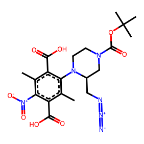 Cc1c(C(=O)O)c([N+](=O)[O-])c(C)c(C(=O)O)c1N1CCN(C(=O)OC(C)(C)C)CC1CN=[N+]=[N-]